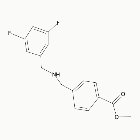 COC(=O)c1ccc(CNCc2cc(F)cc(F)c2)cc1